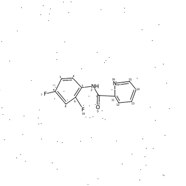 O=C(Nc1ccc(F)cc1F)c1ccccn1